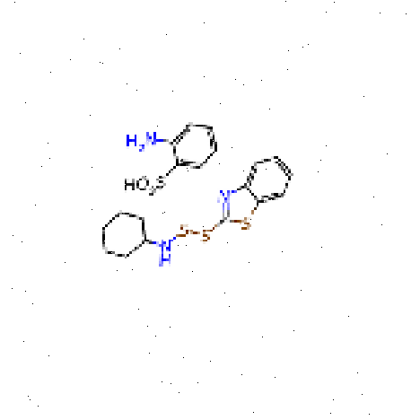 Nc1ccccc1S(=O)(=O)O.c1ccc2sc(SSNC3CCCCC3)nc2c1